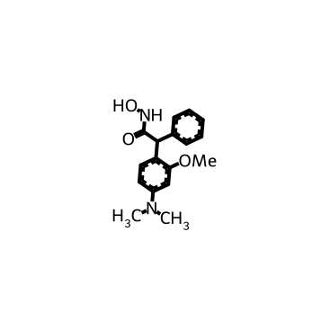 COc1cc(N(C)C)ccc1C(C(=O)NO)c1ccccc1